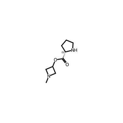 CN1CC(OC(=O)[C@@H]2CCCN2)C1